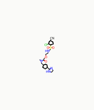 CN(Cc1ccc(C2=NCCN2)cc1)C(=O)COCCNCS(=O)(=O)c1ccc(C#N)cc1Cl